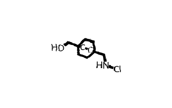 OCC12CCC(CNCl)(CC1)CC2